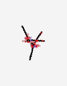 CCCCCCCCCCCCCC(=O)N[C@H]1[C@H](OC[C@H]2O[C@H](O)[C@@](NC(=O)CCCCCCCCCCCCC)(C(C)OP(=O)(O)O)[C@@H](OCCCC(=O)CCCCCCCCCC)[C@@H]2O)O[C@H](CO)[C@@H](OP(=O)(O)O)[C@@H]1OCCCC(=O)CCCCCCCCCC